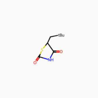 CC(C)(C)CC1SC(=O)NC1=O